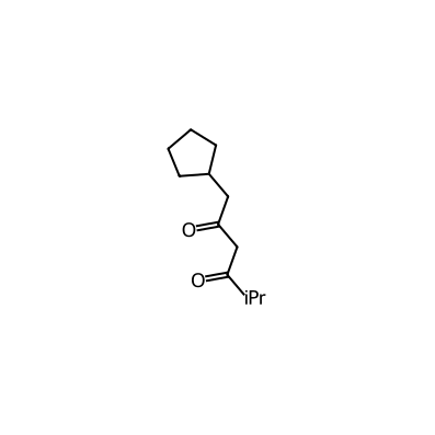 CC(C)C(=O)CC(=O)CC1CCCC1